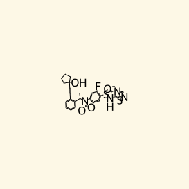 C[C@H](c1ccccc1C#CC1(O)CCCC1)n1c(=O)oc2cc([S+]([O-])Nc3ncns3)c(F)cc21